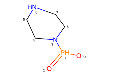 [O][PH](=O)N1CCNCC1